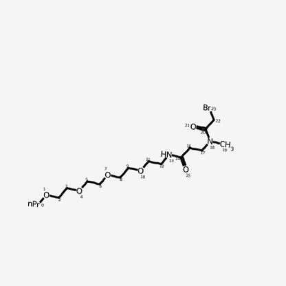 CCCOCCOCCOCCOCCNC(=O)CCN(C)C(=O)CBr